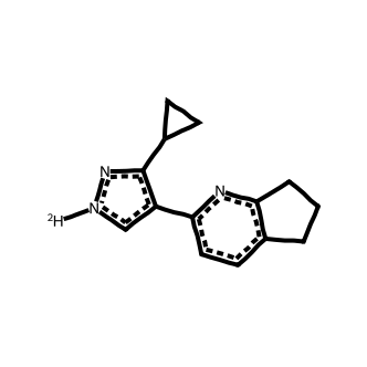 [2H]n1cc(-c2ccc3c(n2)CCC3)c(C2CC2)n1